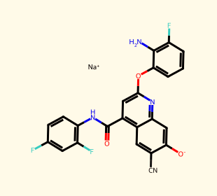 N#Cc1cc2c(C(=O)Nc3ccc(F)cc3F)cc(Oc3cccc(F)c3N)nc2cc1[O-].[Na+]